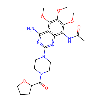 COc1c(OC)c(OC)c2c(N)nc(N3CCN(C(=O)C4CCCO4)CC3)nc2c1NC(C)=O